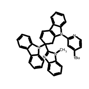 Cn1c(C2(n3c4ccccc4c4ccccc43)C=Cc3c(n(-c4cc(C(C)(C)C)ccn4)c4ccccc34)C2)nc2ccccc21